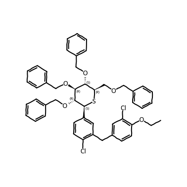 CCOc1ccc(Cc2cc([C@@H]3S[C@H](COCc4ccccc4)[C@@H](OCc4ccccc4)[C@H](OCc4ccccc4)[C@H]3OCc3ccccc3)ccc2Cl)cc1Cl